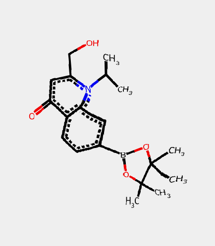 CC(C)n1c(CO)cc(=O)c2ccc(B3OC(C)(C)C(C)(C)O3)cc21